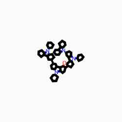 c1ccc(-n2c3ccccc3c3cc(-c4ccc5c(c4)c4c6oc7c(ccc8c7c7cc(-n9c%10ccccc%10c%10ccccc%109)ccc7n8-c7ccccc7)c6ccc4n5-c4ccccc4)ccc32)cc1